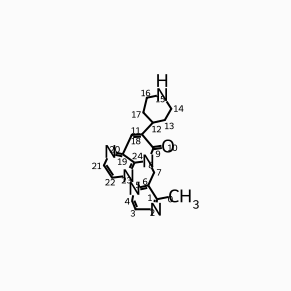 Cc1nccnc1Cn1c(=O)c(C2CCNCC2)cc2nccnc21